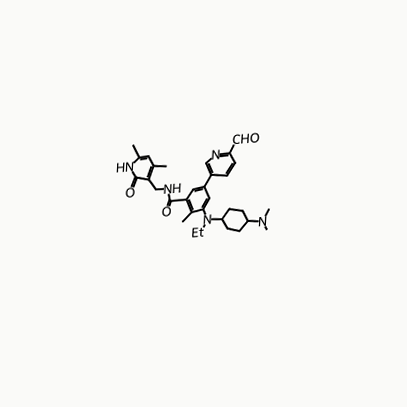 CCN(c1cc(-c2ccc(C=O)nc2)cc(C(=O)NCc2c(C)cc(C)[nH]c2=O)c1C)C1CCC(N(C)C)CC1